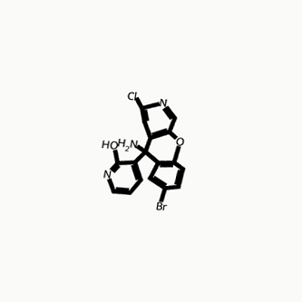 NC1(c2cccnc2O)c2cc(Br)ccc2Oc2cnc(Cl)cc21